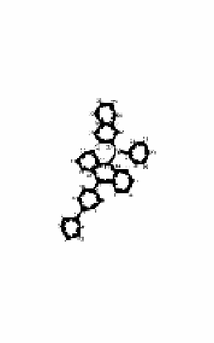 c1ccc(-c2ccc(-c3c4ccccc4c(N(c4ccccc4)c4ccc5ccccc5c4)c4ccccc34)cc2)cc1